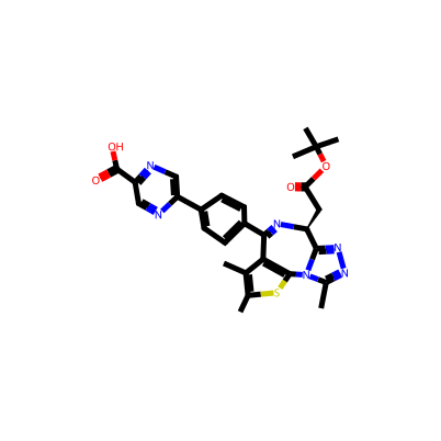 Cc1sc2c(c1C)C(c1ccc(-c3cnc(C(=O)O)cn3)cc1)=N[C@@H](CC(=O)OC(C)(C)C)c1nnc(C)n1-2